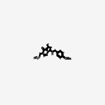 COc1ccc(CNc2nc(C)c3c(=O)n(CC(=O)O)cnn23)cc1